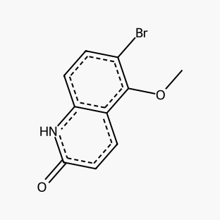 COc1c(Br)ccc2[nH]c(=O)ccc12